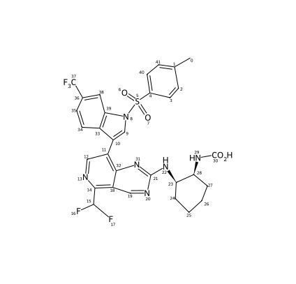 Cc1ccc(S(=O)(=O)n2cc(-c3cnc(C(F)F)c4cnc(N[C@@H]5CCCC[C@@H]5NC(=O)O)nc34)c3ccc(C(F)(F)F)cc32)cc1